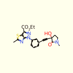 CCOC(=O)c1nn(-c2cccc(C#C[C@]3(O)CCN(C)C3=O)c2)c2nc(C)sc12